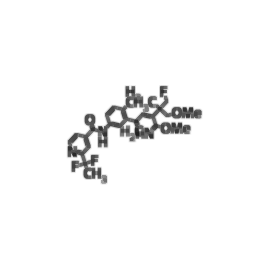 C=C(/C=C(\C(=N)OC)C(C)(CF)COC)c1cc(NC(=O)c2ccnc(C(C)(F)F)c2)ccc1C